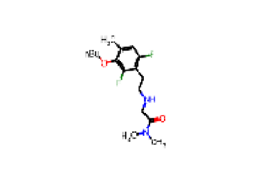 CCCCOc1c(C)cc(F)c(CCNCC(=O)N(C)C)c1F